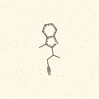 Cc1c(C(C)CC#N)sc2ccccc12